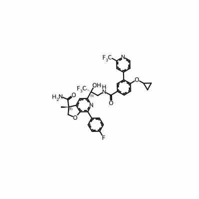 C[C@]1(C(N)=O)COc2c1cc([C@@](O)(CNC(=O)c1ccc(OC3CC3)c(-c3ccnc(C(F)(F)F)c3)c1)C(F)(F)F)nc2-c1ccc(F)cc1